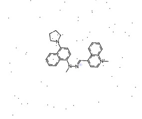 CN(/N=C/c1cc[n+](C)c2ccccc12)c1ccc(N2CCCC2)c2ccccc12